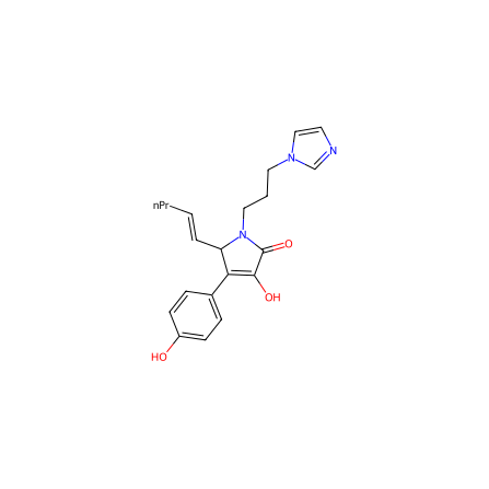 CCCC=CC1C(c2ccc(O)cc2)=C(O)C(=O)N1CCCn1ccnc1